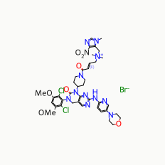 COc1cc(OC)c(Cl)c(N2Cc3cnc(Nc4ccc(N5CCOCC5)cn4)nc3N(C3CCN(C(=O)/C=C/C[N+](C)(C)Cc4c([N+](=O)[O-])ncn4C)CC3)C2=O)c1Cl.[Br-]